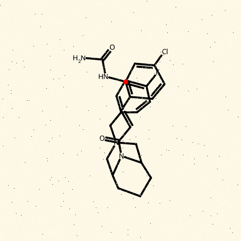 NC(=O)Nc1cc(Cl)ccc1C=CC(=O)N1C2CCCC1CN(Cc1ccc(F)cc1)C2